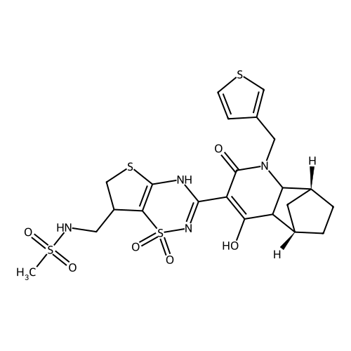 CS(=O)(=O)NCC1CSC2=C1S(=O)(=O)N=C(C1=C(O)C3C([C@@H]4CC[C@H]3C4)N(Cc3ccsc3)C1=O)N2